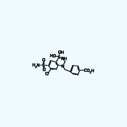 NS(=O)(=O)c1cc2c(cc1Cl)N(Cc1ccc(C(=O)O)cc1)CNS2(O)O